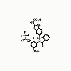 COc1cccc(N2C(=O)c3ccccc3C2(O)c2ccc3[nH]c(NC(=O)O)nc3c2)c1.O=C(O)C(F)(F)F